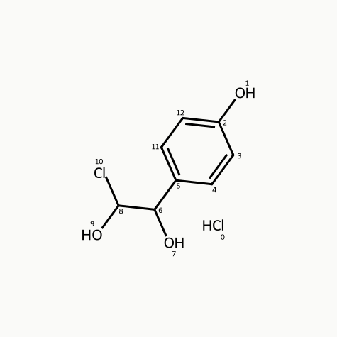 Cl.Oc1ccc(C(O)C(O)Cl)cc1